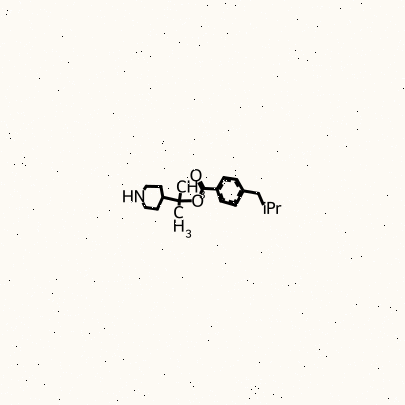 CC(C)Cc1ccc(C(=O)OC(C)(C)C2CCNCC2)cc1